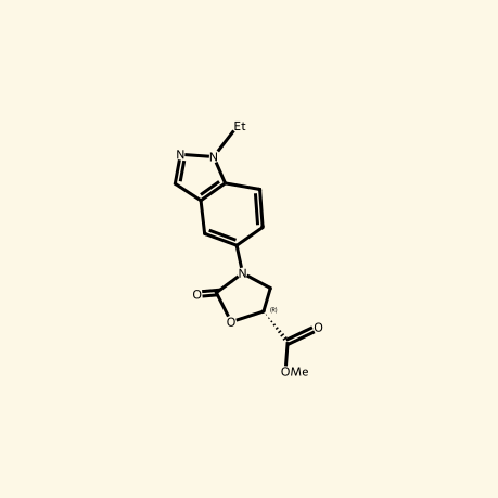 CCn1ncc2cc(N3C[C@H](C(=O)OC)OC3=O)ccc21